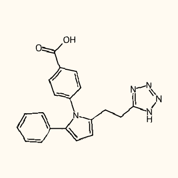 O=C(O)c1ccc(-n2c(CCc3nnn[nH]3)ccc2-c2ccccc2)cc1